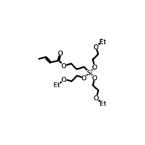 CC=CC(=O)OCCC[Si](OCCOCC)(OCCOCC)OCCOCC